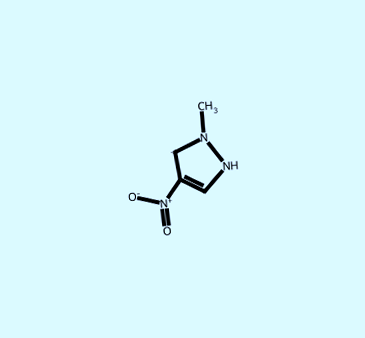 CN1[CH]C([N+](=O)[O-])=CN1